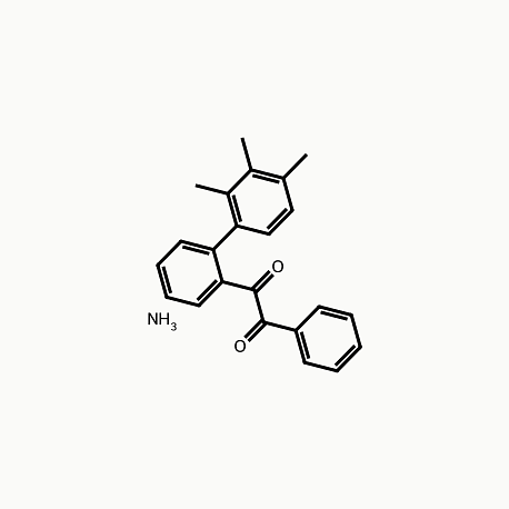 Cc1ccc(-c2ccccc2C(=O)C(=O)c2ccccc2)c(C)c1C.N